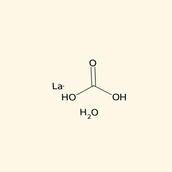 O.O=C(O)O.[La]